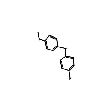 COc1ccc([CH]c2ccc(F)cc2)cc1